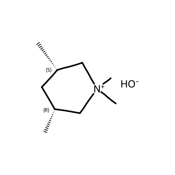 C[C@@H]1C[C@H](C)C[N+](C)(C)C1.[OH-]